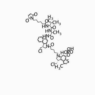 Cc1csc2c(OP(=O)(O)O)cc3c(c12)[C@H](CCl)CN3CCCCC(=O)N1C[C@@H](CCl)c2c1cc(NC(=O)[C@H](C)NC(=O)[C@@H](NC(=O)CCCCCN1C(=O)C=CC1=O)C(C)C)c1ccccc21